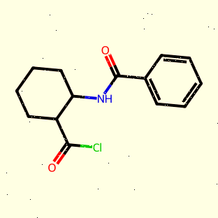 O=C(NC1CCCCC1C(=O)Cl)c1ccccc1